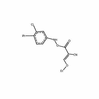 CCOC=C(C#N)C(=O)ONc1ccc(C(C)C)c(Cl)c1